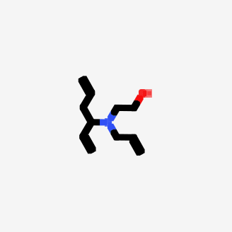 C=CCC(C=C)N(CC=C)CCO